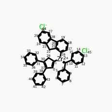 C1=[C]([Zr+2](=[C](c2ccccc2)c2ccccc2)[c]2cccc3c2Cc2ccccc2-3)CC(c2ccccc2)=C1c1ccccc1.[Cl-].[Cl-]